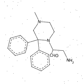 CN1CCN(C(C=O)CN)C(c2ccccc2)(c2ccccc2)C1